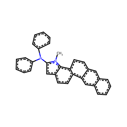 Cn1c(N(c2ccccc2)c2ccccc2)cc2ccc3c4cc5ccccc5cc4ccc3c21